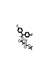 C[C@H](NC(=O)OC(C)(C)C)C(=O)O[C@H](C)C(c1ccc(F)cc1)c1ccc(F)cc1